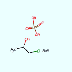 CC(O)CCl.O=S(=O)(O)O.[NaH]